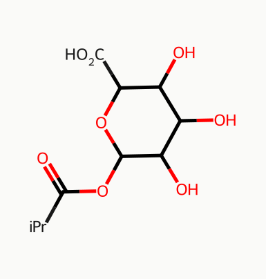 CC(C)C(=O)OC1OC(C(=O)O)C(O)C(O)C1O